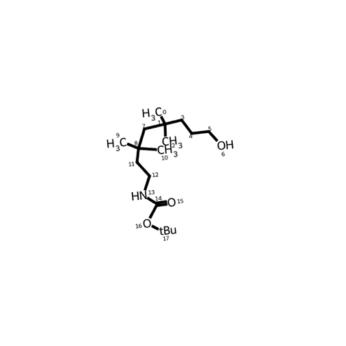 CC(C)(CCCO)CC(C)(C)CCNC(=O)OC(C)(C)C